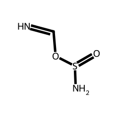 N=COS(N)=O